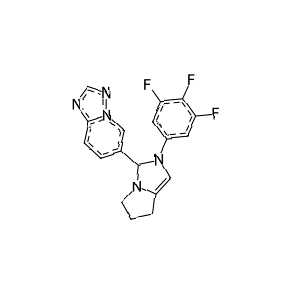 Fc1cc(N2C=C3CCCN3C2c2ccc3ncnn3c2)cc(F)c1F